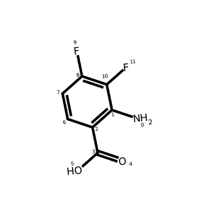 Nc1c(C(=O)O)ccc(F)c1F